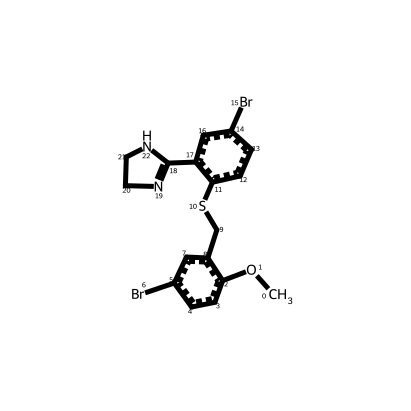 COc1ccc(Br)cc1CSc1ccc(Br)cc1C1=NCCN1